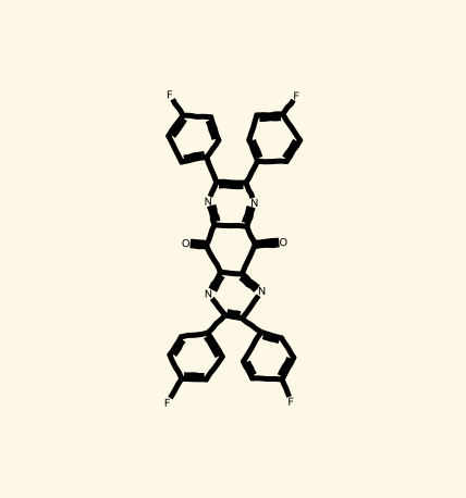 O=C1c2nc(-c3ccc(F)cc3)c(-c3ccc(F)cc3)nc2C(=O)c2nc(-c3ccc(F)cc3)c(-c3ccc(F)cc3)nc21